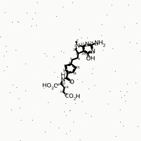 CN1CC(CCc2ccc(C(=O)N[C@H](CCC(=O)O)C(=O)O)cc2)c2c(O)nc(N)nc21